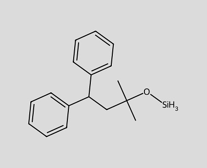 CC(C)(CC(c1ccccc1)c1ccccc1)O[SiH3]